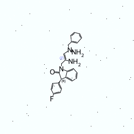 N/C(=C\N(N)Cc1ccccc1)CN1C(=O)[C@H](c2ccc(F)cc2)c2ccccc21